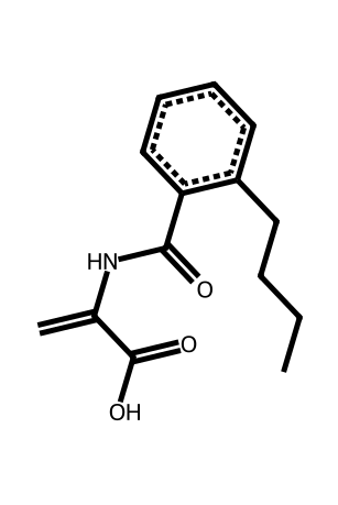 C=C(NC(=O)c1ccccc1CCCC)C(=O)O